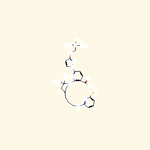 CC1(C)C[C@@H]2CCCNc3cccc(n3)S(=O)(=O)NC(=O)c3ccc(-n4ccc(OC[Si](C)(C)C(C)(C)C)n4)nc3N1C2